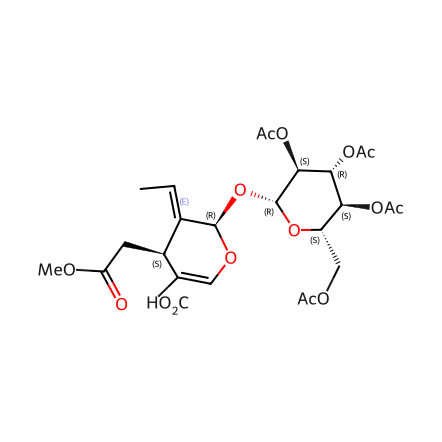 C/C=C1/[C@@H](O[C@H]2O[C@@H](COC(C)=O)[C@H](OC(C)=O)[C@@H](OC(C)=O)[C@@H]2OC(C)=O)OC=C(C(=O)O)[C@H]1CC(=O)OC